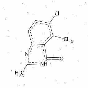 Cc1nc2ccc(Cl)c(C)c2c(=O)[nH]1